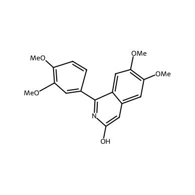 COc1ccc(-c2nc(O)cc3cc(OC)c(OC)cc23)cc1OC